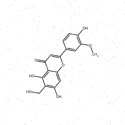 COc1cc(-c2cc(=O)c3c(O)c(CO)c(O)cc3o2)ccc1O